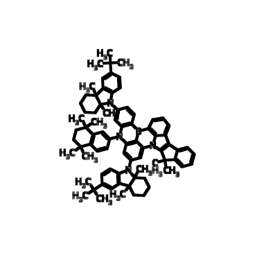 CC(C)(C)c1ccc2c(c1)C1(C)CCCCC1(C)N2c1ccc2c(c1)N(c1ccc3c(c1)C(C)(C)CCC3(C)C)c1cc(N3c4ccc(C(C)(C)C)cc4C4(C)CCCCC34C)cc3c1B2c1cccc2c4c(n-3c12)C(C)(C)c1ccccc1-4